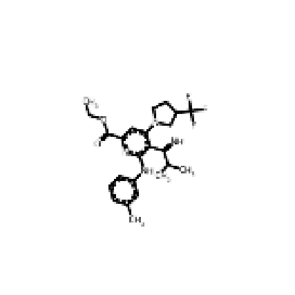 CCOC(=O)c1cc(N2CCC(C(F)(F)F)C2)c(C(=N)C(C)C)c(Nc2cccc(C)c2)n1